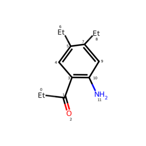 CCC(=O)c1cc(CC)c(CC)cc1N